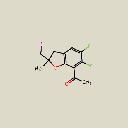 CC(=O)c1c(F)c(F)cc2c1OC(C)(CI)C2